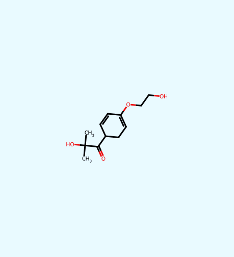 CC(C)(O)C(=O)C1C=CC(OCCO)=CC1